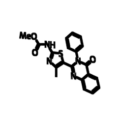 COC(=O)Nc1nc(C)c(-c2nc3ccccc3c(=O)n2-c2ccccc2)s1